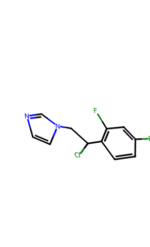 Fc1ccc(C(Cl)Cn2ccnc2)c(F)c1